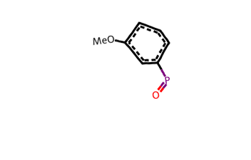 COc1cccc(P=O)c1